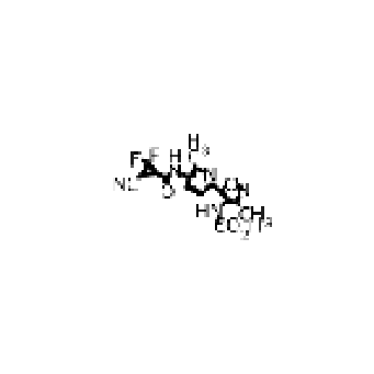 Cc1nc(-c2onc(C)c2NC(=O)O)ccc1NC(=O)C1C(C#N)C1(F)F